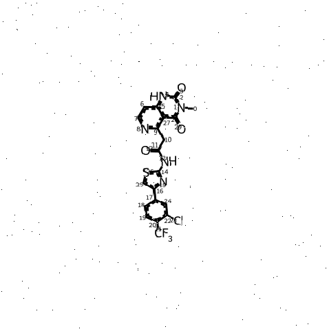 Cn1c(=O)[nH]c2ccnc(CC(=O)Nc3nc(-c4ccc(C(F)(F)F)c(Cl)c4)cs3)c2c1=O